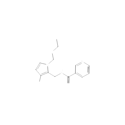 CCOCn1ccc(Br)c1CNC(=O)c1cccnc1